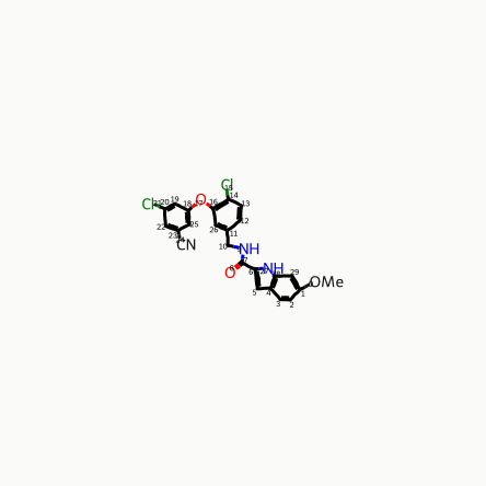 COc1ccc2cc(C(=O)NCc3ccc(Cl)c(Oc4cc(Cl)cc(C#N)c4)c3)[nH]c2c1